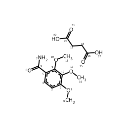 COc1ccc(C(N)=O)c(OC)c1OC.O=C(O)CCC(=O)O